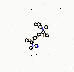 c1ccc(N(c2ccncc2)c2cc(-c3ccc4c(c3)sc3cc(-c5cc(N(c6ccccc6)c6ccc7c(ccc8ccccc87)c6)cc6c5sc5ccccc56)ccc34)c3sc4ccccc4c3c2)cc1